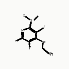 CC(C)CNc1c(F)c(F)nc([S+](C)[O-])c1F